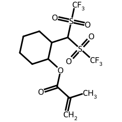 C=C(C)C(=O)OC1CCCCC1C(S(=O)(=O)C(F)(F)F)S(=O)(=O)C(F)(F)F